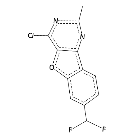 Cc1nc(Cl)c2oc3cc(C(F)F)ccc3c2n1